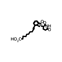 O=C(O)CCCCCCCC#Cc1cccc2c1CN(C1CCC(=O)NC1=O)C2=O